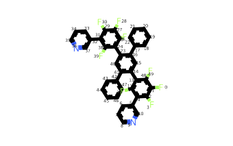 Fc1c(F)c(-c2cccnc2)c(F)c(-c2cc(-c3ccccc3)c(-c3c(F)c(F)c(F)c(-c4cccnc4)c3F)cc2-c2ccccc2)c1F